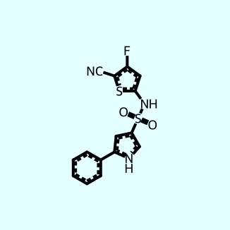 N#Cc1sc(NS(=O)(=O)c2c[nH]c(-c3ccccc3)c2)cc1F